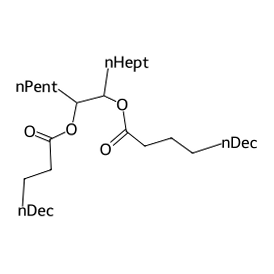 CCCCCCCCCCCCCC(=O)OC(CCCCCCC)C(CCCCC)OC(=O)CCCCCCCCCCCC